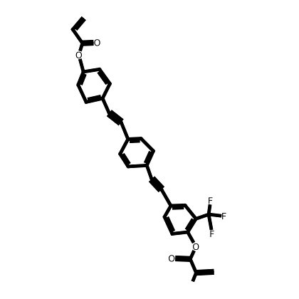 C=CC(=O)Oc1ccc(C#Cc2ccc(C#Cc3ccc(OC(=O)C(=C)C)c(C(F)(F)F)c3)cc2)cc1